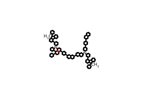 CC1(c2ccccc2)c2ccccc2-c2c(-c3cccc(N(c4ccc(-c5ccc(-c6ccc7ccccc7c6)cc5)cc4)c4ccc5cc(-c6ccc7ccc(-c8ccc(-c9ccc(N(c%10cccc(-c%11cccc%12c%11-c%11ccccc%11C%12(C)c%11ccccc%11)c%10)c%10ccccc%10-c%10ccccc%10-c%10ccccc%10)cc9)cc8)cc7c6)ccc5c4)c3)cccc21